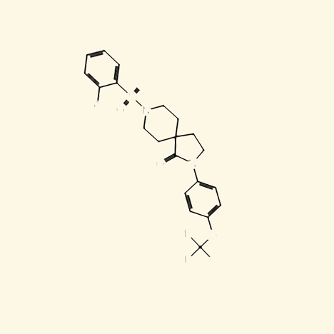 O=C1N(c2ccc(OC(F)(F)F)cc2)CCC12CCN(S(=O)(=O)c1ccccc1Cl)CC2